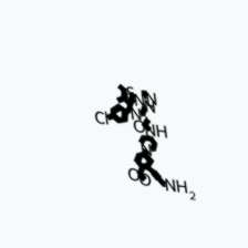 COC(=O)c1ccc(N2CCC(NC(=O)C[C@@H]3N=C(c4ccc(Cl)cc4)c4c(sc(C)c4C)-n4c(C)nnc43)CC2)cc1C#CCN